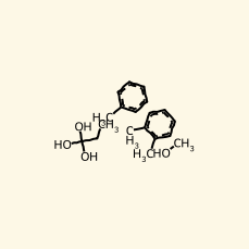 CCC(O)(O)O.CO.Cc1ccccc1.Cc1ccccc1C